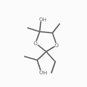 CCC1(C(C)O)OC(C)C(C)(O)O1